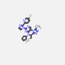 CCC1c2nnc(C)n2-c2cnc(-n3ccnc3-c3ccc(F)cn3)nc2N1C1CCCC1